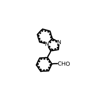 O=Cc1ccccc1-c1cnc2ccccn12